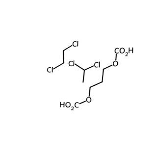 CC(Cl)Cl.ClCCCl.O=C(O)OCCCOC(=O)O